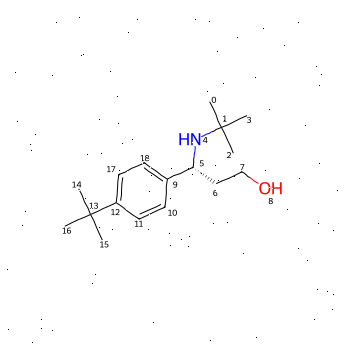 CC(C)(C)N[C@H](CCO)c1ccc(C(C)(C)C)cc1